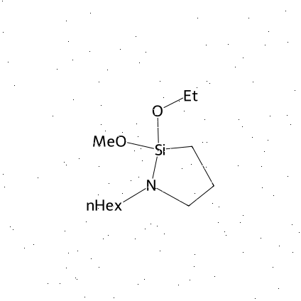 CCCCCCN1CCC[Si]1(OC)OCC